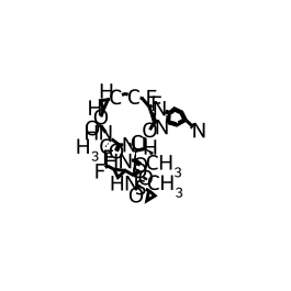 CC[C@@H]1[C@@H]2CN(C(=O)[C@H](C)NC(=O)O[C@@H]3C[C@H]3CCCCC(F)(F)c3nc4ccc(C#N)cc4nc3O2)[C@@H]1C(=O)N[C@]1(C(=O)NS(=O)(=O)C2(C)CC2)CC1C(F)F